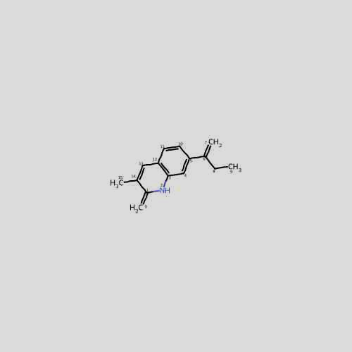 C=C1Nc2cc(C(=C)CC)ccc2C=C1C